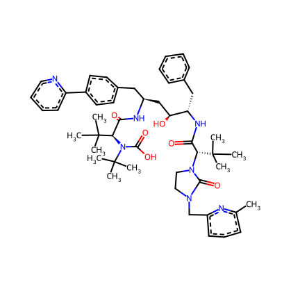 Cc1cccc(CN2CCN([C@H](C(=O)N[C@@H](Cc3ccccc3)[C@@H](O)C[C@H](Cc3ccc(-c4ccccn4)cc3)NC(=O)[C@@H](N(C(=O)O)C(C)(C)C)C(C)(C)C)C(C)(C)C)C2=O)n1